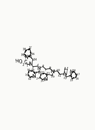 O=C(O)CN(CCN(CCCN(CCNCc1ccccn1)Cc1ccccn1)Cc1ccccn1)Cc1ccccn1